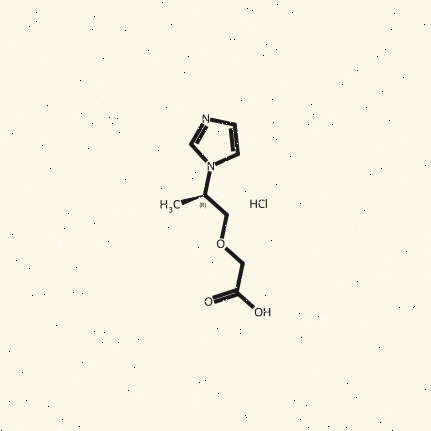 C[C@H](COCC(=O)O)n1ccnc1.Cl